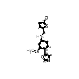 COc1cc(NCc2ccc(Cl)s2)ccc1-c1cnco1